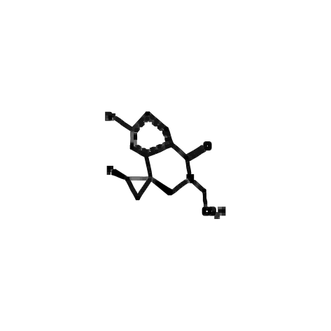 O=C(O)CN1C[C@]2(C[C@H]2F)c2cc(Br)ccc2C1=O